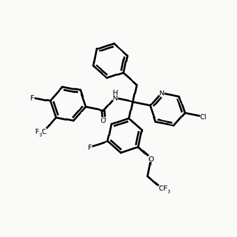 O=C(NC(Cc1ccccc1)(c1cc(F)cc(OCC(F)(F)F)c1)c1ccc(Cl)cn1)c1ccc(F)c(C(F)(F)F)c1